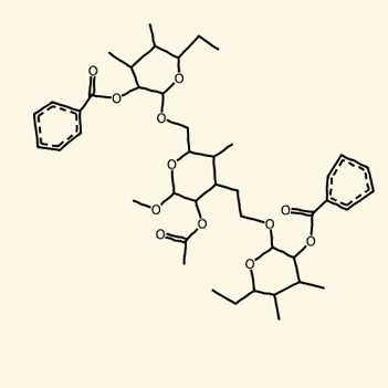 CCC1OC(OCCC2C(C)C(COC3OC(CC)C(C)C(C)C3OC(=O)c3ccccc3)OC(OC)C2OC(C)=O)C(OC(=O)c2ccccc2)C(C)C1C